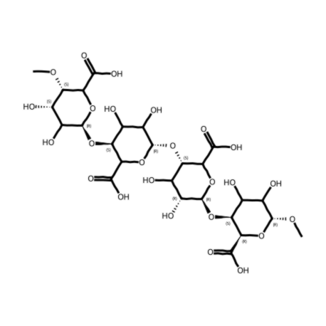 CO[C@@H]1O[C@@H](C(=O)O)[C@@H](O[C@@H]2OC(C(=O)O)[C@@H](O[C@@H]3OC(C(=O)O)[C@@H](O[C@@H]4OC(C(=O)O)[C@@H](OC)[C@@H](O)C4O)C(O)C3O)C(O)[C@H]2O)C(O)C1O